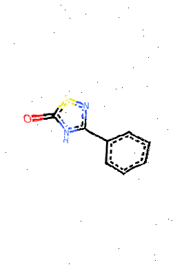 O=c1[nH]c(-c2cc[c]cc2)ns1